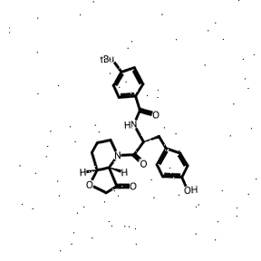 CC(C)(C)c1ccc(C(=O)N[C@@H](Cc2ccc(O)cc2)C(=O)N2CCC[C@H]3OCC(=O)[C@H]32)cc1